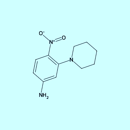 Nc1ccc([N+](=O)[O-])c(N2CCCCC2)c1